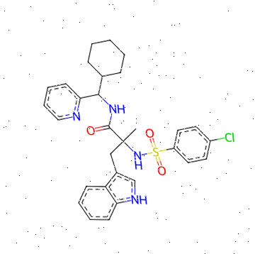 CC(Cc1c[nH]c2ccccc12)(NS(=O)(=O)c1ccc(Cl)cc1)C(=O)NC(c1ccccn1)C1CCCCC1